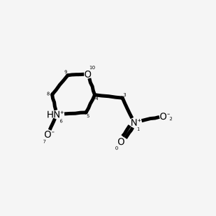 O=[N+]([O-])CC1C[NH+]([O-])CCO1